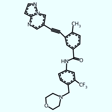 Cc1ccc(C(=O)Nc2ccc(CN3CCOCC3)c(C(F)(F)F)c2)cc1C#Cc1cnc2ccnn2c1